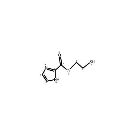 O=C(OCCS)c1ncc[nH]1